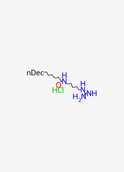 CCCCCCCCCCCCCCCC(=O)NCCCCCNC(=N)N.Cl